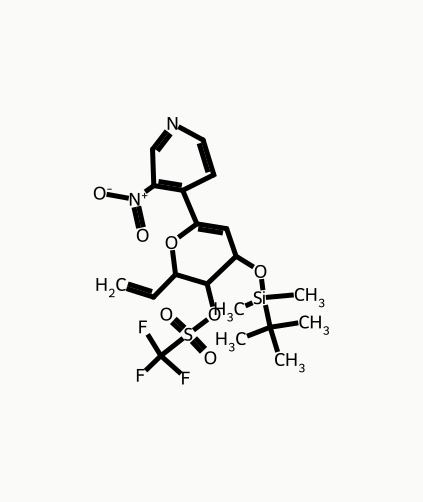 C=CC1OC(c2ccncc2[N+](=O)[O-])=CC(O[Si](C)(C)C(C)(C)C)C1OS(=O)(=O)C(F)(F)F